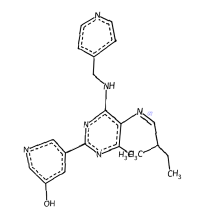 CCC(C)/C=N\c1c(C)nc(-c2cncc(O)c2)nc1NCc1ccncc1